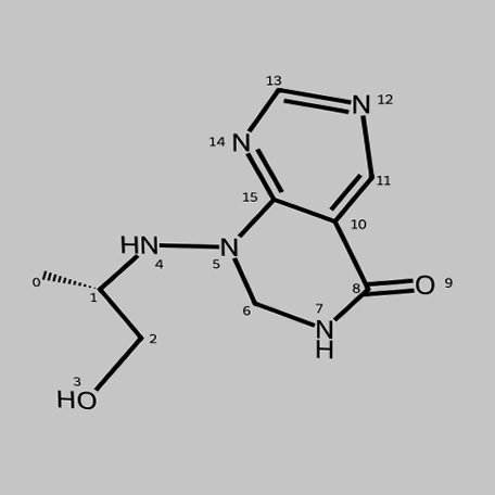 C[C@@H](CO)NN1CNC(=O)c2cncnc21